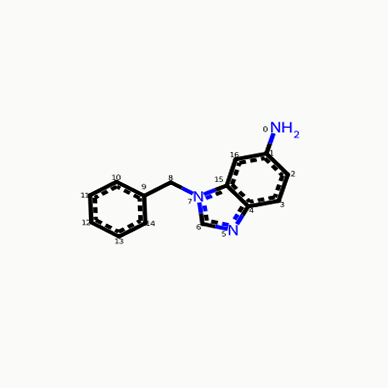 Nc1ccc2ncn(Cc3ccccc3)c2c1